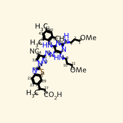 COCCCNc1nc(NCCCOC)c(N=Nc2nn(-c3nc4ccc(C(C)CC(=O)O)cc4s3)cc2C#N)c(Nc2c(C)cc(C)cc2C)n1